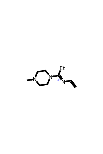 C=C/N=C(\CC)N1CCN(C)CC1